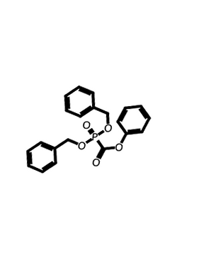 O=C(Oc1ccccc1)P(=O)(OCc1ccccc1)OCc1ccccc1